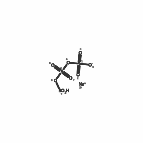 O=S(=O)([O-])OS(=O)(=O)OS(=O)(=O)O.[Na+]